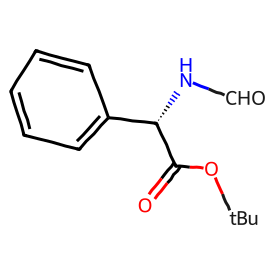 CC(C)(C)OC(=O)[C@@H](NC=O)c1ccccc1